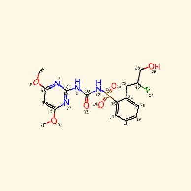 COc1cc(OC)nc(NC(=O)NS(=O)(=O)c2ccccc2CC(F)CO)n1